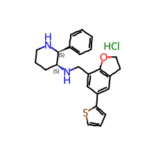 Cl.c1ccc([C@@H]2NCCC[C@@H]2NCc2cc(-c3cccs3)cc3c2OCC3)cc1